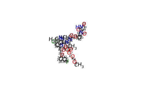 CCOCCOCCOC(=O)OC(C)OC(=O)c1c(CCCOc2cccc3cc(F)ccc23)c2ccc(Cl)c(-c3c(C)nn(C)c3C)c2n1CCN1CCN(C(=O)COc2cccc3c2CN(C2CCC(=O)NC2=O)C3=O)CC1